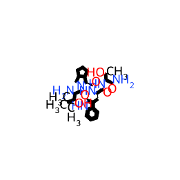 C[C@@H](O)C(NC(=O)[C@H](Cc1c[nH]c2ccccc12)NC(=O)[C@@H]1C2CCCC2CN1C(=O)[C@@H](N)[C@@H](O)C(C)(C)C)C(N)=O